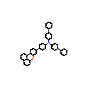 c1ccc(-c2ccc(N(c3ccc(-c4ccccc4)cc3)c3ccc(-c4ccc5c(c4)Oc4cccc6cccc-5c46)cc3)cc2)cc1